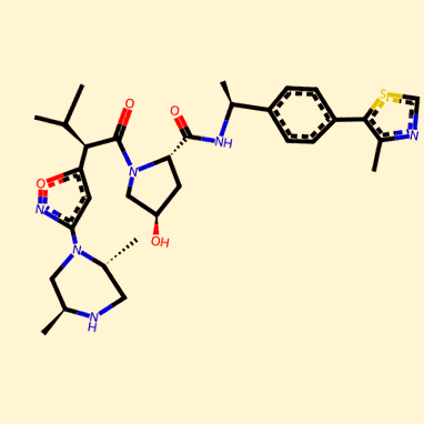 Cc1ncsc1-c1ccc([C@H](C)NC(=O)[C@@H]2C[C@@H](O)CN2C(=O)[C@@H](c2cc(N3C[C@H](C)NC[C@H]3C)no2)C(C)C)cc1